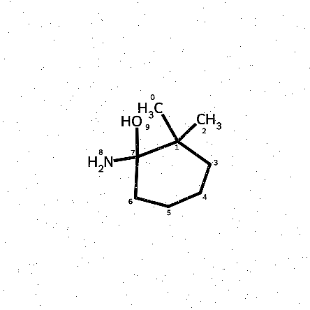 CC1(C)CCCCC1(N)O